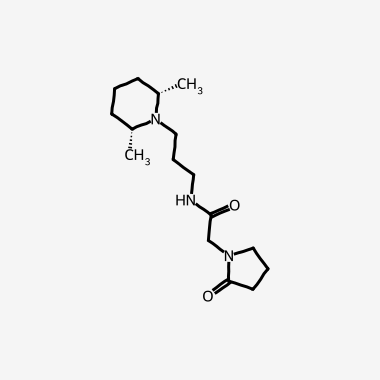 C[C@@H]1CCC[C@H](C)N1CCCNC(=O)CN1CCCC1=O